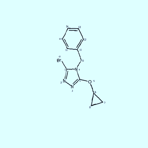 Brc1nnc(OC2CC2)n1Cc1ccccc1